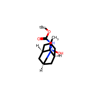 CC(C)(C)OC(=O)NC1[C@@H]2C[C@H]3C[C@H]1CC(C)(C2)N3O